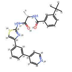 C[C@H](NC(=O)c1cccc(C(C)(C)C)c1)C(=O)Nc1nc(-c2cccc(-c3ccncc3)c2)cs1